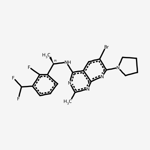 Cc1nc(N[C@H](C)c2cccc(C(F)F)c2F)c2cc(Br)c(N3CCCC3)nc2n1